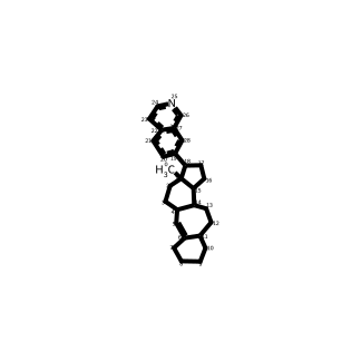 CC12CCC3C=C4CCCCC4CCC3C1CCC2c1ccc2ccncc2c1